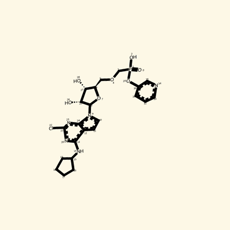 O=P(O)(COC[C@H]1OC(n2ccc3c(NC4CCCC4)nc(Cl)nc32)[C@H](O)[C@@H]1O)Oc1cccnc1